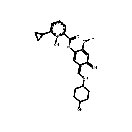 CCOC1=CC(=N)/C(=C\NC2CCC(O)CC2)C=C1NC(=O)c1cccc(C2CC2)[n+]1O